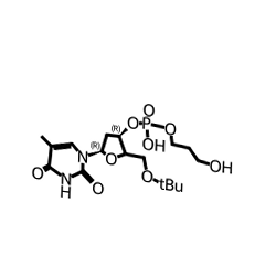 Cc1cn([C@H]2C[C@@H](OP(=O)(O)OCCCO)C(COC(C)(C)C)O2)c(=O)[nH]c1=O